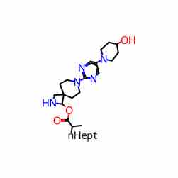 CCCCCCCC(C)C(=O)OC1NCC12CCN(c1ncc(N3CCC(O)CC3)cn1)CC2